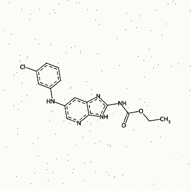 CCOC(=O)Nc1nc2cc(Nc3cccc(Cl)c3)cnc2[nH]1